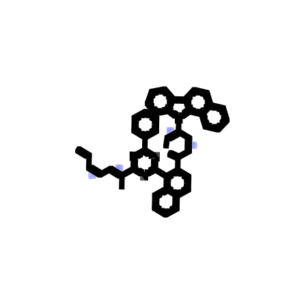 C=C/C=C\C=C(/C)c1nc(-c2ccccc2)nc(-c2c(C(=C)/C=C\C(=C/C)n3c4ccccc4c4ccc5ccccc5c43)ccc3ccccc23)n1